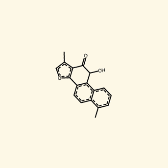 Cc1coc2c1C(=O)C(O)c1c-2ccc2c(C)cccc12